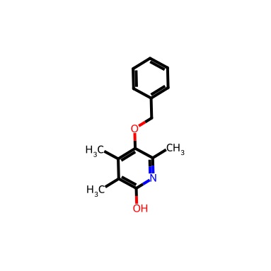 Cc1nc(O)c(C)c(C)c1OCc1ccccc1